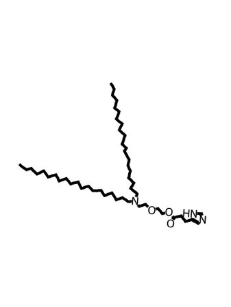 CCCCCCCCCCCCCCCCCCCCN(CCCCCCCCCCCCCCCCCCCC)CCOCCOC(=O)CCc1cnc[nH]1